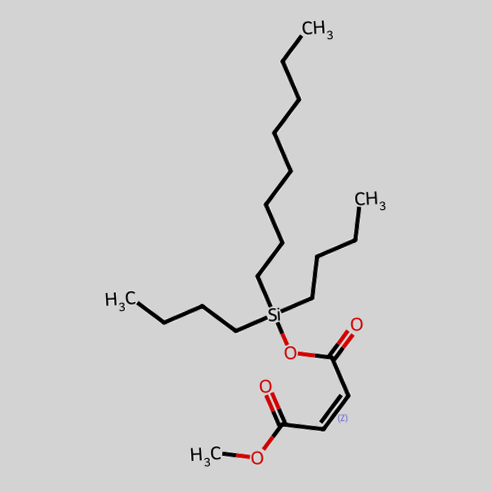 CCCCCCCC[Si](CCCC)(CCCC)OC(=O)/C=C\C(=O)OC